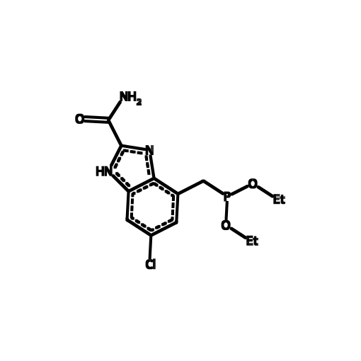 CCOP(Cc1cc(Cl)cc2[nH]c(C(N)=O)nc12)OCC